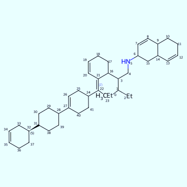 CCC(CC)C(CNC1C=CC2CCC=CC2C1)C1CCC=C/C1=C(/C)C1CC=C(C2CCC([C@@H]3CC=CCC3)CC2)CC1